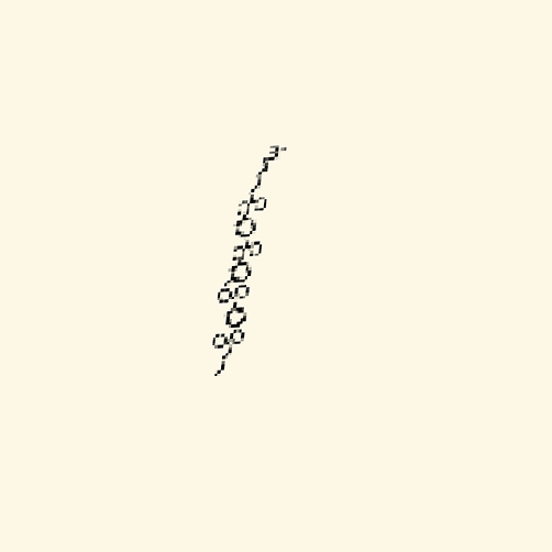 CCCCC(=O)Oc1ccc(C(=O)Oc2ccc(OC(=O)c3ccc(OC(=O)CCCCCBr)cc3)cc2C)cc1